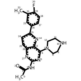 CC(=O)Nc1nc(N2CCNCC2)c2nc(-c3ccc(F)c(C)c3)ccc2n1